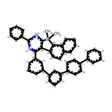 C[Si]1(C)c2nc(-c3ccccc3)nc(-c3cccc(-c4cccc(-c5ccc(-c6ccccc6)cc5)c4)c3)c2-c2ccc3ccccc3c21